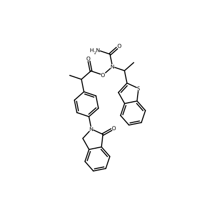 CC(C(=O)ON(C(N)=O)C(C)c1cc2ccccc2s1)c1ccc(N2Cc3ccccc3C2=O)cc1